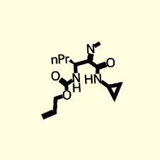 C=CCOC(=O)N[C@@H](CCC)/C(=N/C)C(=O)NC1CC1